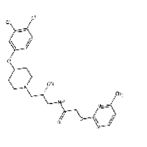 Cc1ccnc(SCC(=O)NC[C@@H](O)CN2CCC(Oc3ccc(Cl)c(Cl)c3)CC2)n1